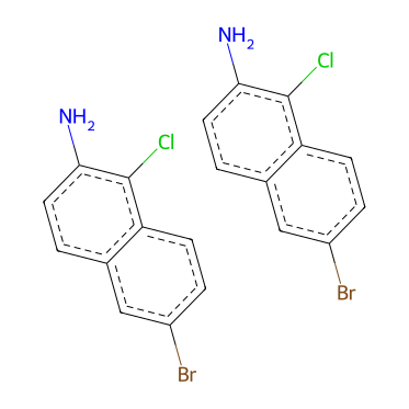 Nc1ccc2cc(Br)ccc2c1Cl.Nc1ccc2cc(Br)ccc2c1Cl